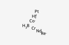 B.[Co].[Cr].[Hf].[Nd].[Pt].[Re]